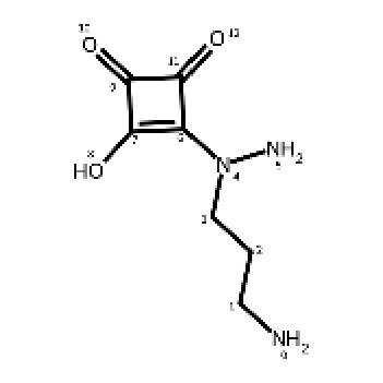 NCCCN(N)c1c(O)c(=O)c1=O